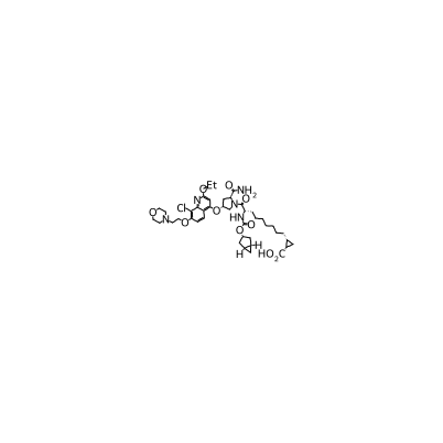 CCOc1cc(O[C@@H]2C[C@@H](C(N)=O)N(C(=O)[C@H](CCCCCCC[C@@H]3C[C@@H]3C(=O)O)NC(=O)O[C@@H]3C[C@@H]4C[C@@H]4C3)C2)c2ccc(OCCN3CCOCC3)c(Cl)c2n1